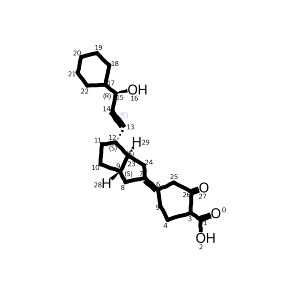 O=C(O)C1CCC(=C2C[C@@H]3CC[C@H](/C=C/[C@H](O)C4CCCCC4)[C@H]3C2)CC1=O